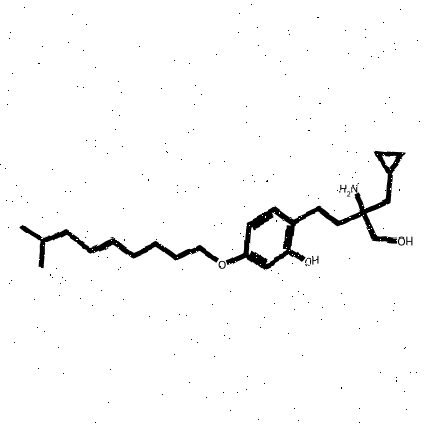 CC(C)CCCCCCCOc1ccc(CCC(N)(CO)CC2CC2)c(O)c1